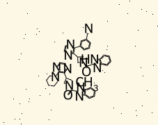 Cn1c(C(=O)N2CC(c3nccnc3N3CCCCC3)C2)nc2ccccc21.N#Cc1cccc(-c2nccnc2C2CN(C(=O)c3nc4ccccc4[nH]3)C2)c1